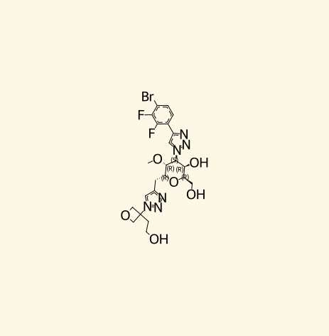 CO[C@@H]1[C@@H](n2cc(-c3ccc(Br)c(F)c3F)nn2)[C@@H](O)[C@@H](CO)O[C@@H]1Cc1cn(C2(CCO)COC2)nn1